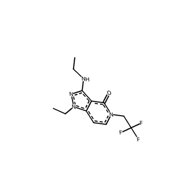 CCNc1nn(CC)c2ccn(CC(F)(F)F)c(=O)c12